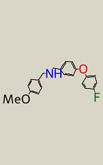 COc1ccc(CNCc2ccc(Oc3ccc(F)cc3)cc2)cc1